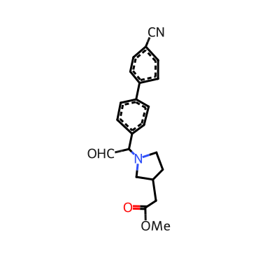 COC(=O)CC1CCN(C(C=O)c2ccc(-c3ccc(C#N)cc3)cc2)C1